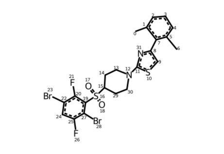 Cc1cccc(C)c1-c1csc(N2CCC(S(=O)(=O)c3c(F)c(Br)cc(F)c3Br)CC2)n1